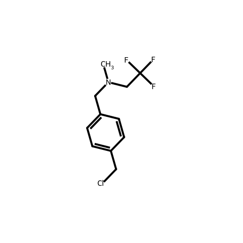 CN(Cc1ccc(CCl)cc1)CC(F)(F)F